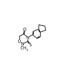 CN1OCC(=O)N(c2ccc3c(c2)CCC3)C1=S